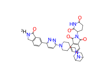 [2H]N1Cc2ccc(-c3ccc(N4CCC(CN5CC6CC(C5)N6c5ccc6c(c5)C(=O)N(C5CCC(=O)NC5=O)C6=O)CC4)nn3)cc2C1=O